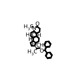 CC(COC(c1ccccc1)c1ccccc1)[C@H]1CC[C@H]2[C@@H]3CCC4N(C)C(=O)CC[C@]4(C)[C@H]3CC[C@]12C